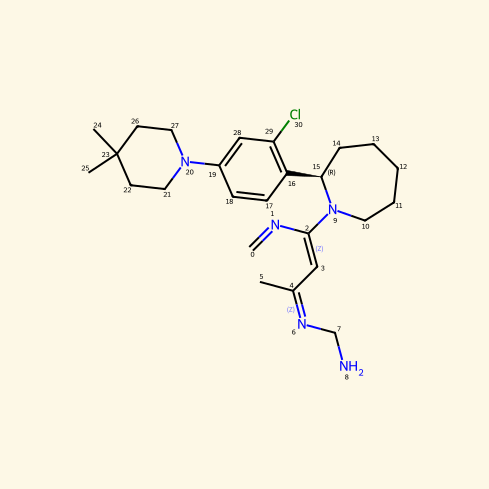 C=N/C(=C\C(C)=N/CN)N1CCCCC[C@@H]1c1ccc(N2CCC(C)(C)CC2)cc1Cl